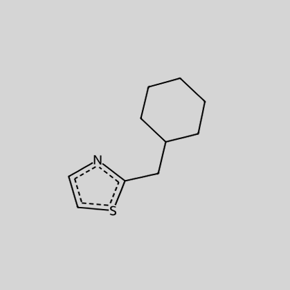 c1csc(CC2CCCCC2)n1